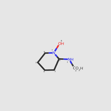 O=C(O)NC1CCCCN1O